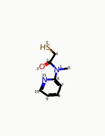 CN(C(=O)CS)c1ccccn1